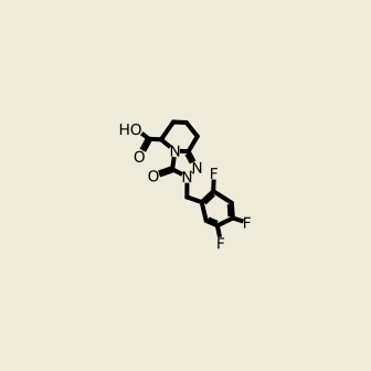 O=C(O)C1CCCc2nn(Cc3cc(F)c(F)cc3F)c(=O)n21